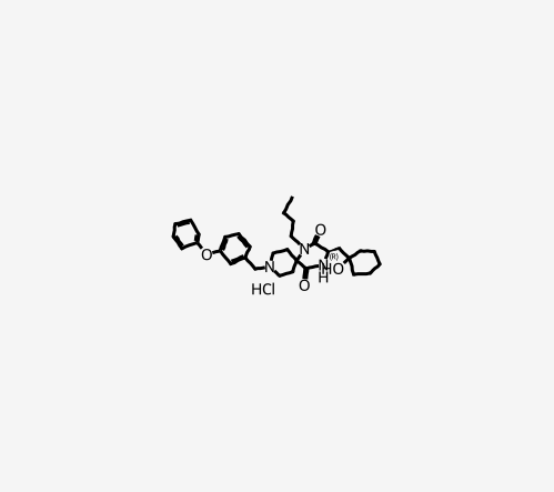 CCCCN1C(=O)[C@@H](CC2(O)CCCCC2)NC(=O)C12CCN(Cc1cccc(Oc3ccccc3)c1)CC2.Cl